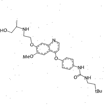 COc1cc2c(Oc3ccc(NC(=O)NCCC(C)(C)C)cc3)ccnc2cc1OCCNC(C)CO